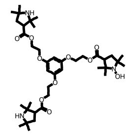 CC1(C)CC(C(=O)OCCOc2cc(OCCOC(=O)C3CC(C)(C)NC3(C)C)cc(OCCOC(=O)C3CC(C)(C)N(O)C3(C)C)c2)C(C)(C)N1